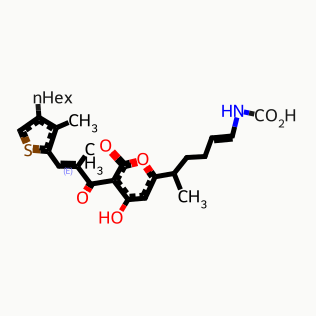 CCCCCCc1csc(/C=C(\C)C(=O)c2c(O)cc(C(C)CCC=CNC(=O)O)oc2=O)c1C